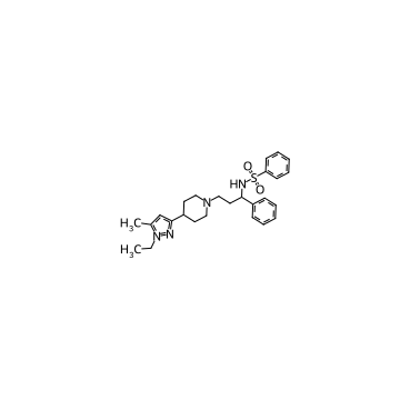 CCn1nc(C2CCN(CCC(NS(=O)(=O)c3ccccc3)c3ccccc3)CC2)cc1C